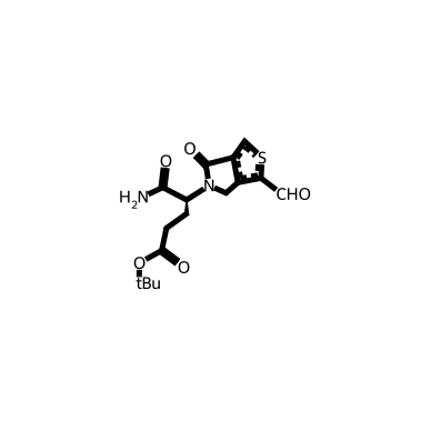 CC(C)(C)OC(=O)CC[C@@H](C(N)=O)N1Cc2c(csc2C=O)C1=O